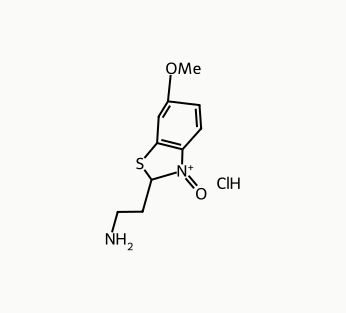 COc1ccc2c(c1)SC(CCN)[N+]2=O.Cl